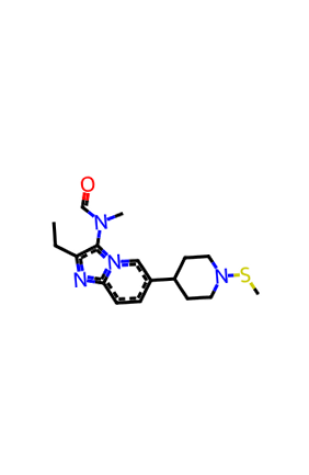 CCc1nc2ccc(C3CCN(SC)CC3)cn2c1N(C)C=O